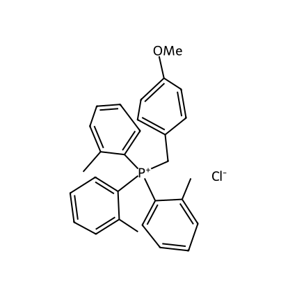 COc1ccc(C[P+](c2ccccc2C)(c2ccccc2C)c2ccccc2C)cc1.[Cl-]